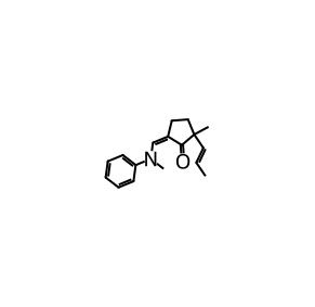 CC=CC1(C)CCC(=CN(C)c2ccccc2)C1=O